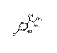 CC(N)C(O)c1ccc(Cl)cc1.Cl